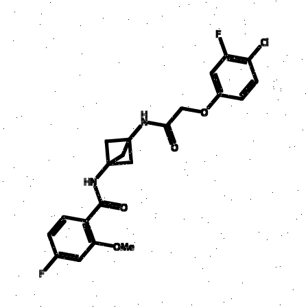 COc1cc(F)ccc1C(=O)NC12CC(NC(=O)COc3ccc(Cl)c(F)c3)(C1)C2